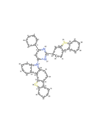 c1ccc(-c2cc(-n3c4ccccc4c4c5sc6ccccc6c5ccc43)nc(-c3ccc4c(c3)sc3ccccc34)n2)cc1